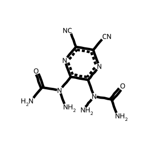 N#Cc1nc(N(N)C(N)=O)c(N(N)C(N)=O)nc1C#N